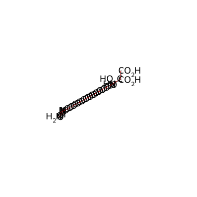 NC(=O)OC[C@@H]1C2CCc3nnn(CCOCCOCCOCCOCCOCCOCCOCCOCCOCCOCCOCCOCCOCCOCCOCCOCCOCCOCCOCCOCCOCCOCCOCCNC(=O)CCCCCCCCCCC(CCCCCCCCCCC(=O)O)(C(=O)O)C(=O)O)c3CC[C@@H]21